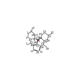 CC1CCC(C(C)C)C(C(C)c2ccccc2C(C)C2CC(C)CCC2C(C)C)C1